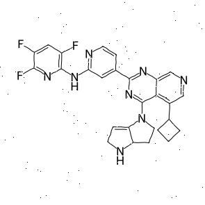 Fc1cc(F)c(Nc2cc(-c3nc(N4CCC5NCC=C54)c4c(C5CCC5)cncc4n3)ccn2)nc1F